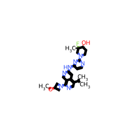 COC1CN(c2ncc(C(C)C)c3cc(Nc4ccnc(N5CC[C@@H](O)[C@@](C)(F)C5)n4)ncc23)C1